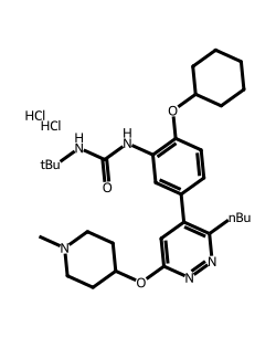 CCCCc1nnc(OC2CCN(C)CC2)cc1-c1ccc(OC2CCCCC2)c(NC(=O)NC(C)(C)C)c1.Cl.Cl